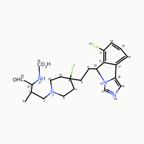 CC(CN1CCC(F)(CCC2c3c(F)cccc3-c3cncn32)CC1)C(C=O)NC(=O)O